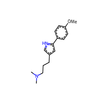 COc1ccc(-c2cc(CCCN(C)C)c[nH]2)cc1